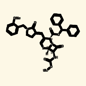 COc1ccccc1CN1CCC(=CC2=CS[C@@H]3[C@H](NC(=O)OC(C)(C)C)C(=O)N3[C@H]2C(=O)OC(c2ccccc2)c2ccccc2)C1=O